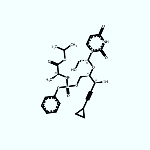 CC(C)OC(=O)[C@H](C)NP(=O)(OC[C@@H](O[C@H](CO)n1ccc(=O)[nH]c1=O)[C@@H](O)C#CC1CC1)Oc1ccccc1